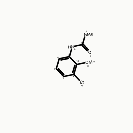 CCc1cccc(NC(=O)NC)c1OC